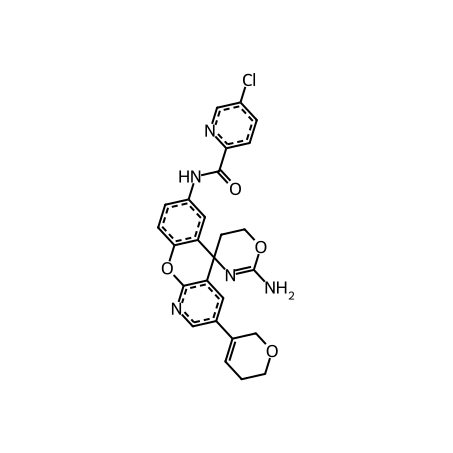 NC1=NC2(CCO1)c1cc(NC(=O)c3ccc(Cl)cn3)ccc1Oc1ncc(C3=CCCOC3)cc12